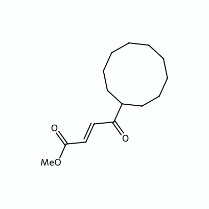 COC(=O)/C=C/C(=O)C1CCCCCCCCC1